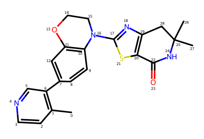 Cc1ccncc1-c1ccc2c(c1)OCCN2c1nc2c(s1)C(=O)NC(C)(C)C2